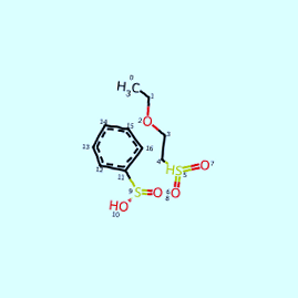 CCOCC[SH](=O)=O.O=[S@](O)c1ccccc1